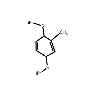 CC1=CC(SC(C)C)C=CC1SC(C)C